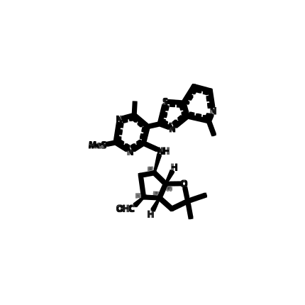 CSc1nc(C)c(-c2nc3c(C)nccc3s2)c(N[C@@H]2C[C@H](C=O)[C@H]3CC(C)(C)O[C@H]32)n1